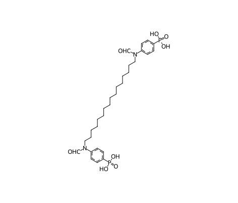 O=CN(CCCCCCCCCCCCCCCCN(C=O)c1ccc(P(=O)(O)O)cc1)c1ccc(P(=O)(O)O)cc1